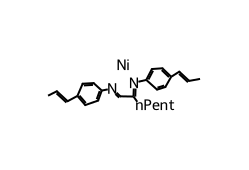 CC=Cc1ccc(N=CC(CCCCC)=Nc2ccc(C=CC)cc2)cc1.[Ni]